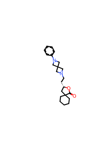 O=C1O[C@@H](CCN2CC3(C2)CN(c2ccccc2)C3)CC12CCCCC2